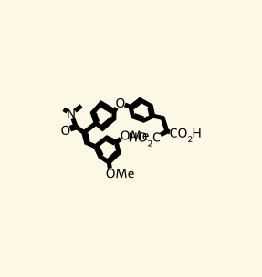 COc1cc(C=C(C(=O)N(C)C)c2ccc(Oc3ccc(CC(C(=O)O)C(=O)O)cc3)cc2)cc(OC)c1